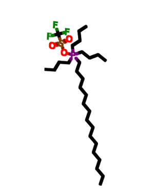 CCCCCCCCCCCCCCCCP(CCCC)(CCCC)(CCCC)OS(=O)(=O)C(F)(F)F